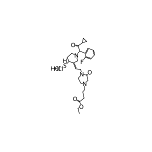 CCOC(=O)CCCN1CCN(CC=C2CN(C(C(=O)C3CC3)c3ccccc3F)CCC2S)C(=O)C1.Cl.Cl